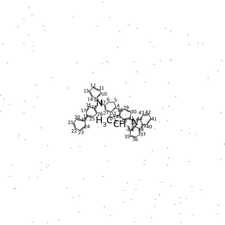 CC1(C)C2=C(CCC(N(c3ccccc3)c3ccc(-c4ccccc4)cc3)=C2)c2ccc(N3c4ccccc4C4C=CC=CC43)cc21